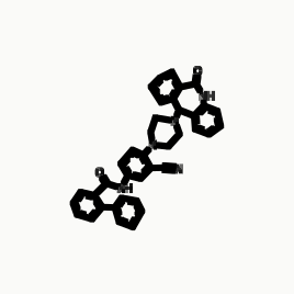 N#Cc1cc(NC(=O)c2ccccc2-c2ccccc2)ccc1N1CCN(C2c3ccccc3NC(=O)c3ccccc32)CC1